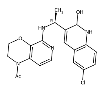 CC(=O)N1CCOc2c1ccnc2N[C@@H](C)C1=Cc2cc(Cl)ccc2NC1O